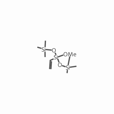 C=C[Si](OC)(O[Si](C)(C)C)O[Si](C)(C)C